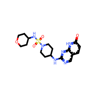 O=c1ccc2cnc(NC3CCN(S(=O)(=O)NC4CCOCC4)CC3)nc2[nH]1